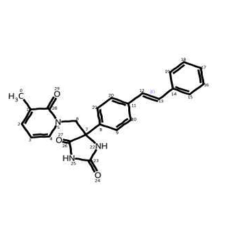 Cc1cccn(CC2(c3ccc(/C=C/c4ccccc4)cc3)NC(=O)NC2=O)c1=O